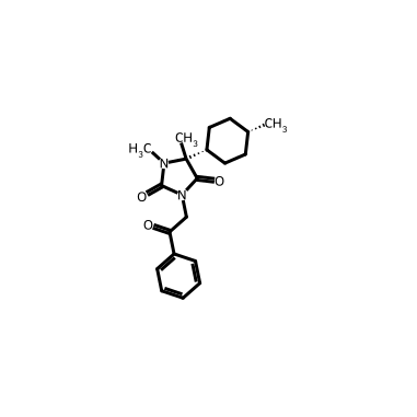 CN1C(=O)N(CC(=O)c2ccccc2)C(=O)C1(C)[C@H]1CC[C@@H](C)CC1